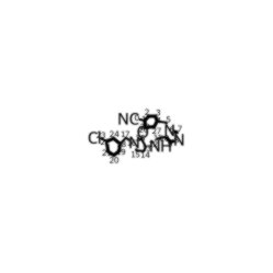 N#Cc1ccc(Cn2cncc2CN[C@@H]2CCN(Cc3cccc(Cl)c3)C2=O)cc1